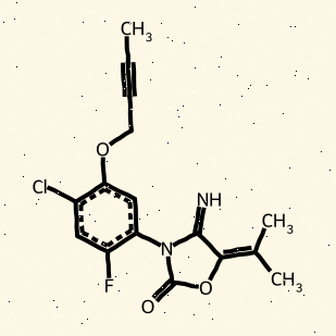 CC#CCOc1cc(N2C(=N)C(=C(C)C)OC2=O)c(F)cc1Cl